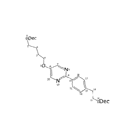 CCCCCCCCCCCCCCOc1cnc(-c2ccc(CCCCCCCCCCCC)cc2)nc1